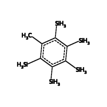 Cc1c([SiH3])c([SiH3])c([SiH3])c([SiH3])c1[SiH3]